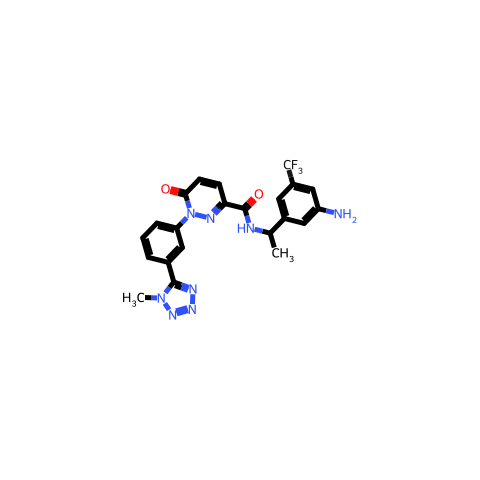 CC(NC(=O)c1ccc(=O)n(-c2cccc(-c3nnnn3C)c2)n1)c1cc(N)cc(C(F)(F)F)c1